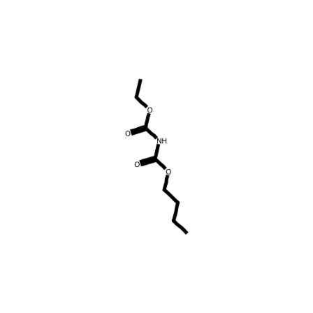 CCCCOC(=O)NC(=O)OCC